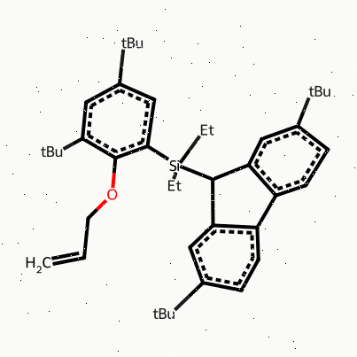 C=CCOc1c(C(C)(C)C)cc(C(C)(C)C)cc1[Si](CC)(CC)C1c2cc(C(C)(C)C)ccc2-c2ccc(C(C)(C)C)cc21